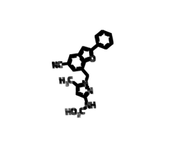 Cc1cc(NC(=O)O)nn1Cc1cc(C#N)cc2cc(-c3ccccc3)oc12